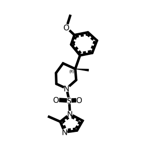 COc1cccc([C@@]2(C)CCCN(S(=O)(=O)n3ccnc3C)C2)c1